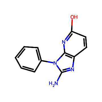 Nc1nc2ccc(O)nc2n1-c1ccccc1